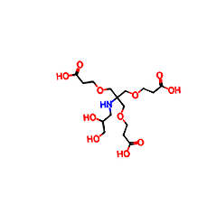 O=C(O)CCOCC(COCCC(=O)O)(COCCC(=O)O)NCC(O)CO